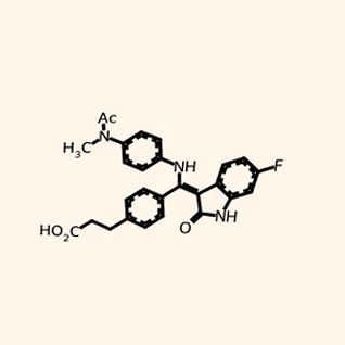 CC(=O)N(C)c1ccc(NC(=C2C(=O)Nc3cc(F)ccc32)c2ccc(CCC(=O)O)cc2)cc1